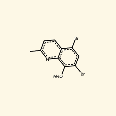 COc1c(Br)cc(Br)c2ccc(C)nc12